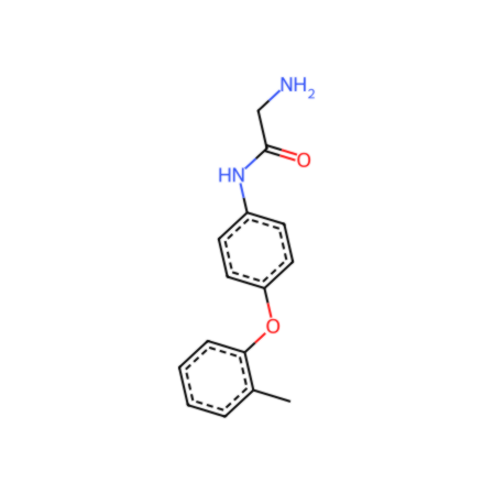 Cc1ccccc1Oc1ccc(NC(=O)CN)cc1